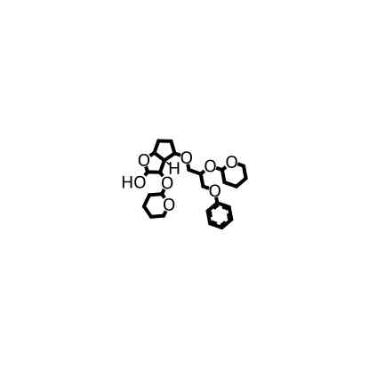 OC1OC2CCC(OCC(COc3ccccc3)OC3CCCCO3)[C@H]2C1OC1CCCCO1